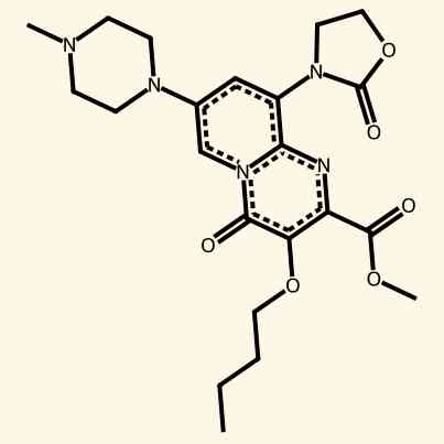 CCCCOc1c(C(=O)OC)nc2c(N3CCOC3=O)cc(N3CCN(C)CC3)cn2c1=O